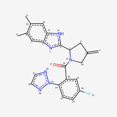 C=C1CC(c2nc3cc(C)c(C)cc3[nH]2)N(C(=O)c2cc(F)ccc2-n2nccn2)C1